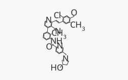 Cc1cc(/C=C/c2nccc(-c3cccc(NC(=O)c4ccc(CN5CC[C@@H](O)C5)cn4)c3C)c2C#N)c(Cl)cc1C=O